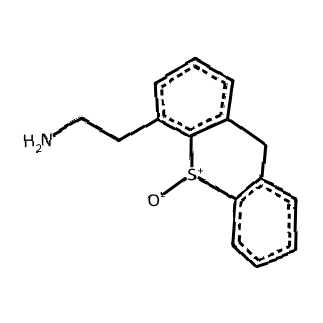 NCCc1cccc2c1[S+]([O-])c1ccccc1C2